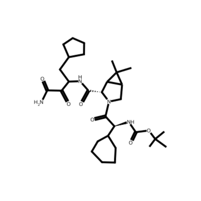 CC(C)(C)OC(=O)N[C@H](C(=O)N1CC2C([C@H]1C(=O)NC(CC1CCCC1)C(=O)C(N)=O)C2(C)C)C1CCCCC1